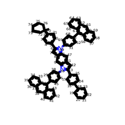 CC1(c2ccc(-c3cc4cc5c(cc(-c6ccc(-c7ccccc7)cc6)n5-c5ccc(-c6c7ccccc7cc7ccccc67)cc5)cc4n3-c3ccc(-c4c5ccccc5cc5ccccc45)cc3)cc2)C=CC=CC1